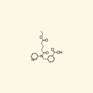 CCOC(=O)CCCC(=O)N(Cc1cccc(C(=O)O)c1)c1cccnc1